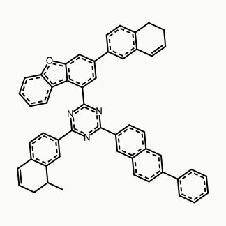 CC1CC=Cc2ccc(-c3nc(-c4ccc5cc(-c6ccccc6)ccc5c4)nc(-c4cc(-c5ccc6c(c5)C=CCC6)cc5oc6ccccc6c45)n3)cc21